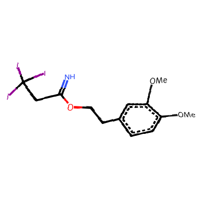 COc1ccc(CCOC(=N)CC(I)(I)I)cc1OC